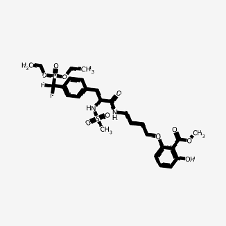 CCOP(=O)(OCC)C(F)(F)c1ccc(CC(NS(C)(=O)=O)C(=O)NCCCCOc2cccc(O)c2C(=O)OC)cc1